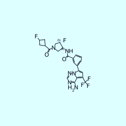 Nc1ncnn2c(-c3cccc(C(=O)N[C@@H]4CN(C(=O)C5CC(F)C5)C[C@@H]4F)c3)cc(C(F)(F)F)c12